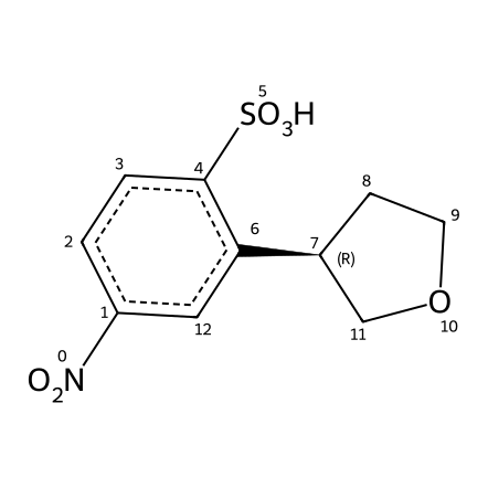 O=[N+]([O-])c1ccc(S(=O)(=O)O)c([C@H]2CCOC2)c1